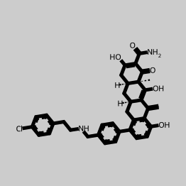 C=C1C2=C(O)[C@]3(C)C(=O)C(C(N)=O)=C(O)C[C@@H]3C[C@@H]2Cc2c(-c3ccc(CNCCc4ccc(Cl)cc4)cc3)ccc(O)c21